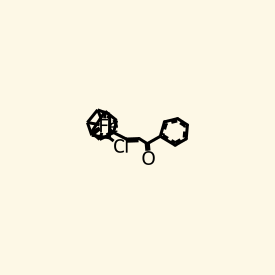 O=C(C=C[C]12[CH]3[CH]4[CH]5[CH]1[Fe]45321678[CH]2[CH]1[CH]6[C]7(Cl)[CH]28)c1ccccc1